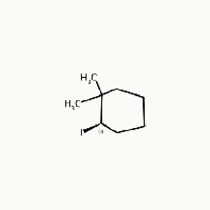 CC1(C)CCCC[C@H]1I